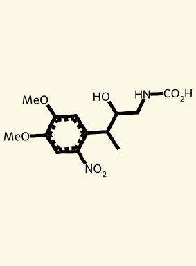 COc1cc(C(C)C(O)CNC(=O)O)c([N+](=O)[O-])cc1OC